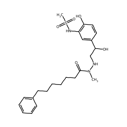 CN(NCC(O)c1ccc(O)c(NS(C)(=O)=O)c1)C(=O)CCCCCCc1ccccc1